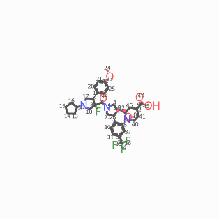 COC[C@H]1CN(C(=O)[C@]2(F)CN(C3CCCC3)C[C@H]2c2ccc(OC)cc2)C[C@@H]1c1ccc(C(F)(F)F)cc1N1CCC(C(=O)O)CC1I